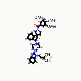 COc1cc(C(=O)N2CCC(CCN3CCCN(c4nc5ccccc5n4CC=C(C)C)CC3)(c3ccccc3)C2)cc(OC)c1OC